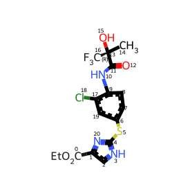 CCOC(=O)c1c[nH]c(Sc2ccc(NC(=O)[C@@](C)(O)C(F)(F)F)c(Cl)c2)n1